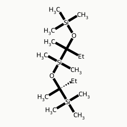 CCC(C)(O[Si](C)(C)C)[Si](C)(C)O[C@@](C)(CC)[Si](C)(C)C